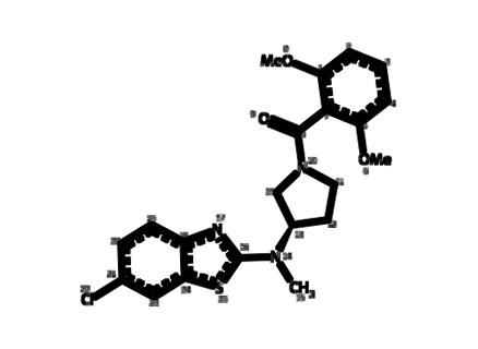 COc1cccc(OC)c1C(=O)N1CC[C@@H](N(C)c2nc3ccc(Cl)cc3s2)C1